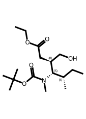 CCOC(=O)C[C@@H](CO)[C@H]([C@@H](C)CC)N(C)C(=O)OC(C)(C)C